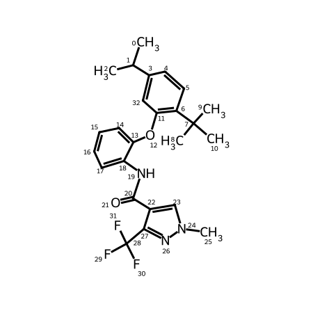 CC(C)c1ccc(C(C)(C)C)c(Oc2ccccc2NC(=O)c2cn(C)nc2C(F)(F)F)c1